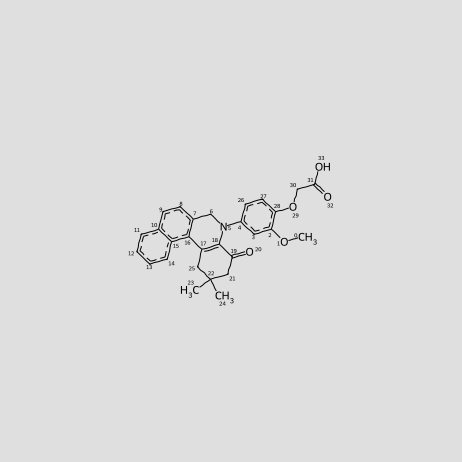 COc1cc(N2Cc3ccc4ccccc4c3C3=C2C(=O)CC(C)(C)C3)ccc1OCC(=O)O